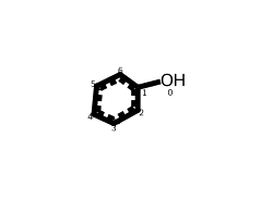 Oc1c[c]ccc1